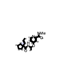 C/C=C/C1(C(=O)NC(C)Oc2ccnc(C(=O)NC)c2)CCCC1